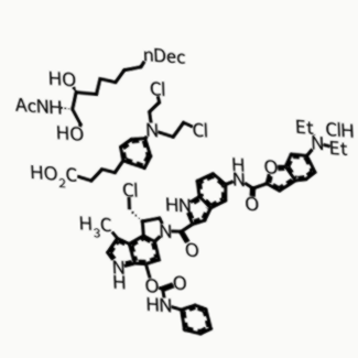 CCCCCCCCCCCCCCC[C@H](O)[C@H](CO)NC(C)=O.CCN(CC)c1ccc2cc(C(=O)Nc3ccc4[nH]c(C(=O)N5C[C@@H](CCl)c6c5cc(OC(=O)Nc5ccccc5)c5[nH]cc(C)c65)cc4c3)oc2c1.Cl.O=C(O)CCCc1ccc(N(CCCl)CCCl)cc1